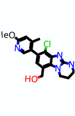 COc1cc(C)c(-c2cc(CO)c3c(nc4n3CCCN4)c2Cl)cn1